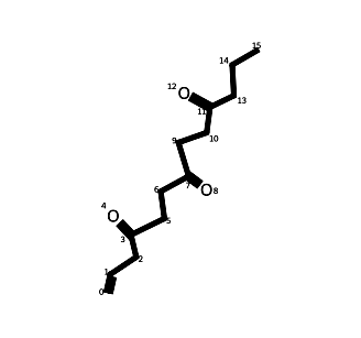 C=CCC(=O)CCC(=O)CCC(=O)CCC